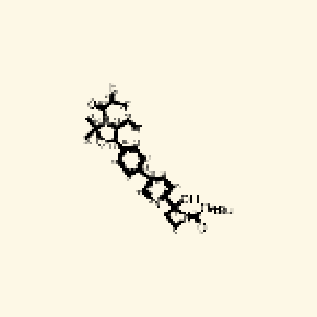 CC(C)(C)OC(=O)N1CCC1(O)c1ccc(-c2ccc(C3OC(C)(C)N(C(=O)C(F)F)C3CF)cc2)cn1